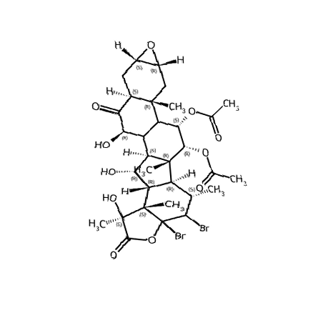 CC(=O)O[C@H]1C2C([C@@H]3[C@@H](O)[C@@H]4[C@H]([C@H](C)C(Br)C5(Br)OC(=O)[C@@](C)(O)[C@]45C)[C@@]3(C)[C@H]1OC(C)=O)[C@@H](O)C(=O)[C@H]1C[C@@H]3O[C@@H]3C[C@]21C